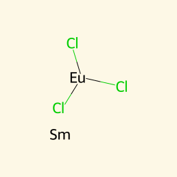 [Cl][Eu]([Cl])[Cl].[Sm]